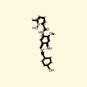 COC1=CC(=N)/C(=C\[N+]#CC2CCC(O)CC2)C=C1NC(=O)c1cccc(C)[n+]1O